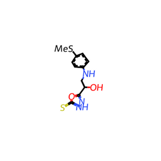 CSc1ccc(NCC(O)c2n[nH]c(=S)o2)cc1